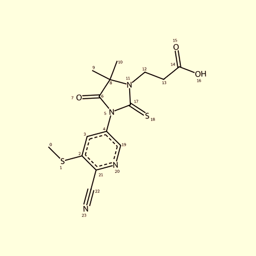 CSc1cc(N2C(=O)C(C)(C)N(CCC(=O)O)C2=S)cnc1C#N